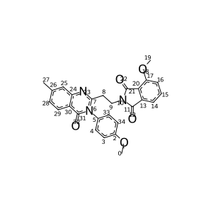 COc1ccc(-n2c(CCN3C(=O)c4cccc(OC)c4C3=O)nc3cc(C)ccc3c2=O)cc1